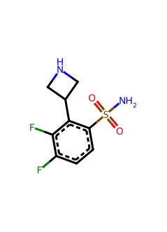 NS(=O)(=O)c1ccc(F)c(F)c1C1CNC1